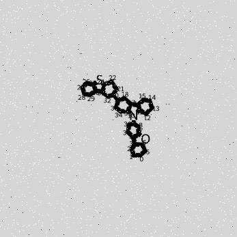 c1ccc2c(c1)oc1cc(-n3c4ccccc4c4cc(-c5ccc6sc7ccccc7c6c5)ccc43)ccc12